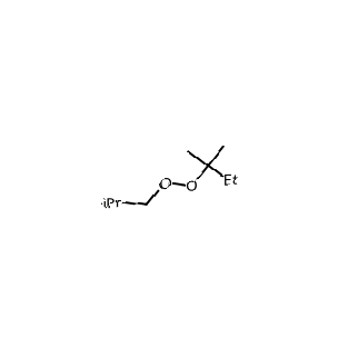 CCC(C)(C)OOC[C](C)C